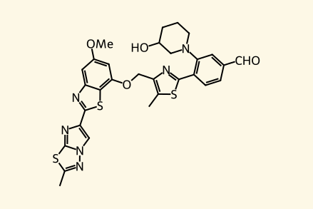 COc1cc(OCc2nc(-c3ccc(C=O)cc3N3CCCC(O)C3)sc2C)c2sc(-c3cn4nc(C)sc4n3)nc2c1